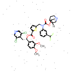 COc1ccc([C@H](Cc2c(Cl)cncc2Cl)OC(=O)c2ccc(CN(C(=O)O[C@H]3CN4CCC3CC4)c3cccc(C(F)F)c3)s2)cc1OC